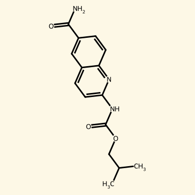 CC(C)COC(=O)Nc1ccc2cc(C(N)=O)ccc2n1